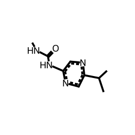 CNC(=O)Nc1cnc(C(C)C)cn1